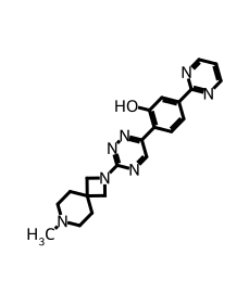 CN1CCC2(CC1)CN(c1ncc(-c3ccc(-c4ncccn4)cc3O)nn1)C2